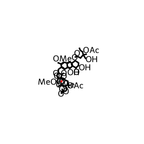 COc1c2c(c(O)c3c4c(c(C)cc13)C1OC3(C(OC)OC)OC1[C@@](OC1CC(OC(C)=O)C5(OC(=O)O[C@H]5C)C(C)O1)(O4)[C@@]31CO1)C(=O)[C@@H](O)C[C@@H]2OC1CC(C)(CO)C(OC(C)=O)C(C)O1